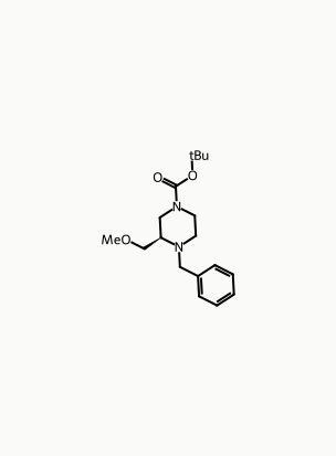 COC[C@H]1CN(C(=O)OC(C)(C)C)CCN1Cc1ccccc1